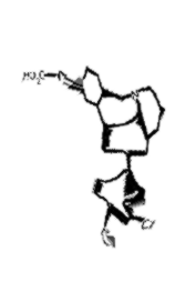 O=C(O)N1CCC2C(C1)c1cc(-c3ccc(Cl)c(Cl)c3)cc3c1N2CCC3